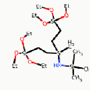 CCO[Si](CC[Si](C)(CC[Si](OCC)(OCC)OCC)N[Si](C)(C)C)(OCC)OCC